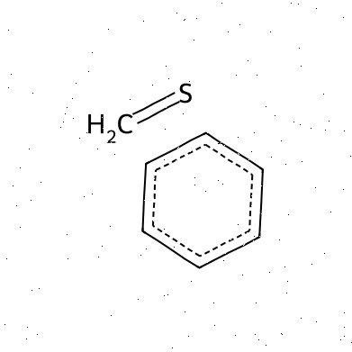 C=S.c1ccccc1